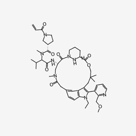 C=CC(=O)N1CC[C@H](C(=O)N(C)C(C(=O)N[C@H]2CN(C)C(=O)Cc3ccc4c(c3)c(c(-c3cccnc3COC)n4CC)CC(C)(C)COC(=O)[C@@H]3CCCN(N3)C2=O)C(C)C)C1